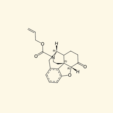 C=CCOC(=O)N1CC[C@]23c4c5cccc4O[C@H]2C(=O)CCC3[C@H]1C5